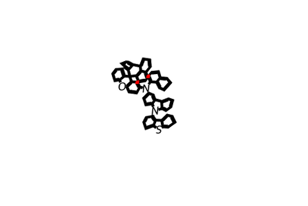 c1ccc2c(c1)Oc1ccc(N(c3ccc4c(c3)c3ccccc3n4-c3cccc4sc5ccccc5c34)c3cccc4ccccc34)cc1C21c2ccccc2-c2cccc3cccc1c23